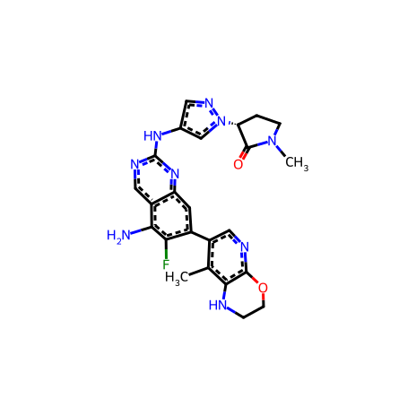 Cc1c(-c2cc3nc(Nc4cnn([C@@H]5CCN(C)C5=O)c4)ncc3c(N)c2F)cnc2c1NCCO2